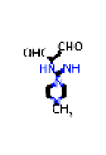 CN1CCN(C(=N)NC(C=O)CC=O)CC1